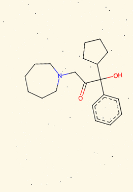 O=C(CN1CCCCCC1)C(O)(c1ccccc1)C1CCCC1